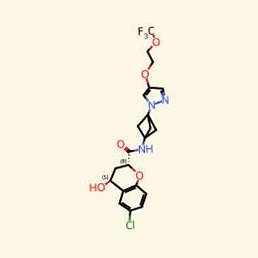 O=C(NC12CC(n3cc(OCCOC(F)(F)F)cn3)(C1)C2)[C@H]1C[C@H](O)c2cc(Cl)ccc2O1